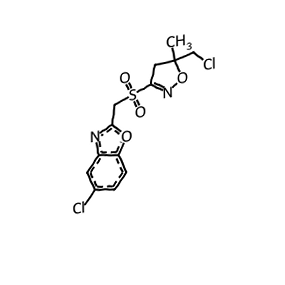 CC1(CCl)CC(S(=O)(=O)Cc2nc3cc(Cl)ccc3o2)=NO1